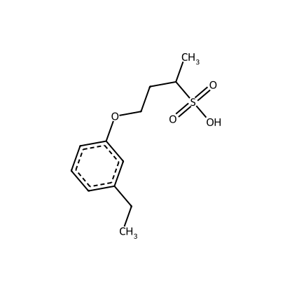 CCc1cccc(OCCC(C)S(=O)(=O)O)c1